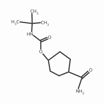 CC(C)(C)NC(=O)OC1CCC(C(N)=O)CC1